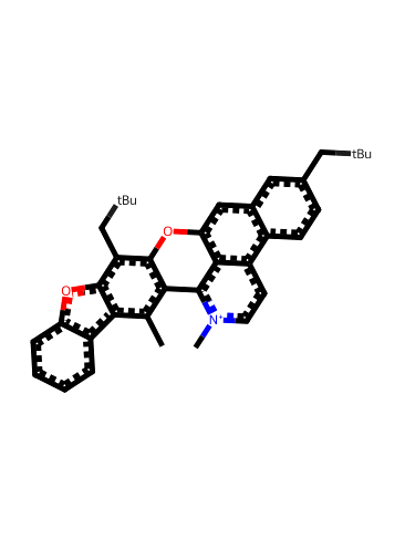 Cc1c2c(c(CC(C)(C)C)c3oc4ccccc4c13)Oc1cc3cc(CC(C)(C)C)ccc3c3cc[n+](C)c-2c13